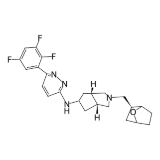 Fc1cc(F)c(F)c(-c2ccc(NC3C[C@@H]4CN(C[C@@H]5CC6CCC5O6)C[C@@H]4C3)nn2)c1